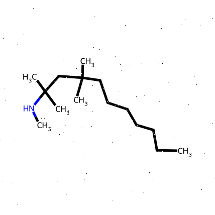 CCCCCCCC(C)(C)CC(C)(C)NC